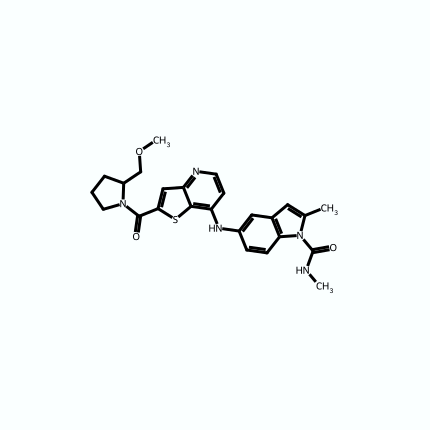 CNC(=O)n1c(C)cc2cc(Nc3ccnc4cc(C(=O)N5CCCC5COC)sc34)ccc21